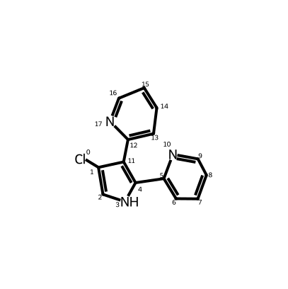 Clc1c[nH]c(-c2ccccn2)c1-c1ccccn1